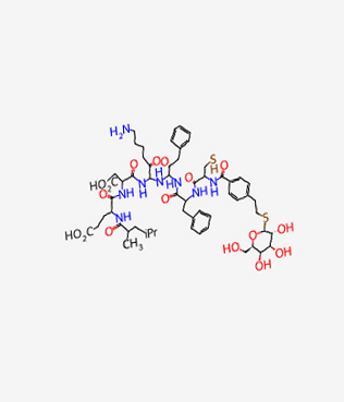 CC(C)CC(C)C(=O)NC(CCC(=O)O)C(=O)NC(CC(=O)O)C(=O)NC(NC(NC(=O)C(Cc1ccccc1)NC(=O)C(CS)NC(=O)c1ccc(CCS[C@@H]2O[C@H](CO)[C@H](O)[C@H](O)[C@H]2O)cc1)C(=O)Cc1ccccc1)C(=O)CCCCN